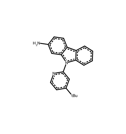 CC(C)(C)c1ccnc(-n2c3ccccc3c3ccc(N)cc32)c1